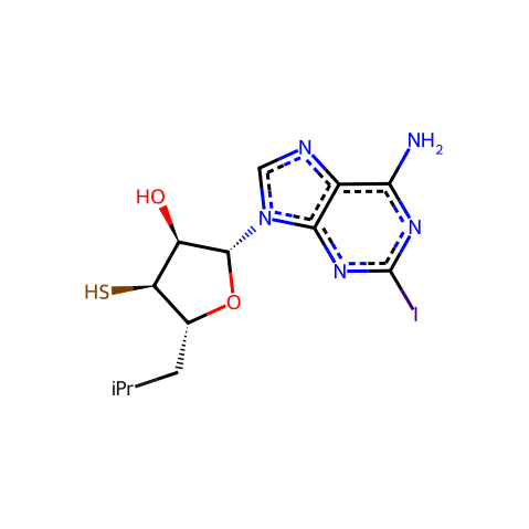 CC(C)C[C@H]1O[C@@H](n2cnc3c(N)nc(I)nc32)[C@H](O)[C@@H]1S